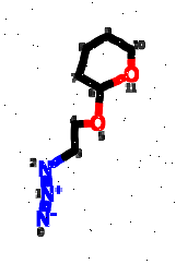 [N-]=[N+]=NCCOC1CCCCO1